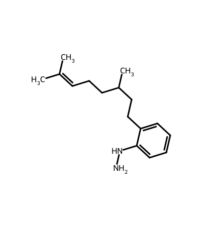 CC(C)=CCCC(C)CCc1ccccc1NN